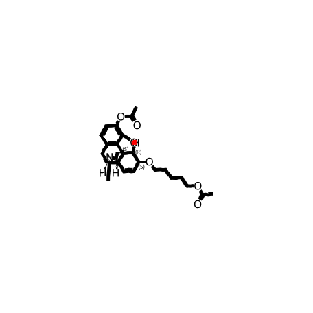 CC(=O)OCCCCCO[C@H]1C=C[C@H]2[C@H]3Cc4ccc(OC(C)=O)c5c4[C@@]2(CCN3C)[C@H]1O5